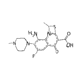 CC1Sc2c(C(=O)O)c(=O)c3cc(F)c(N4CCN(C)CC4)c(N)c3n21